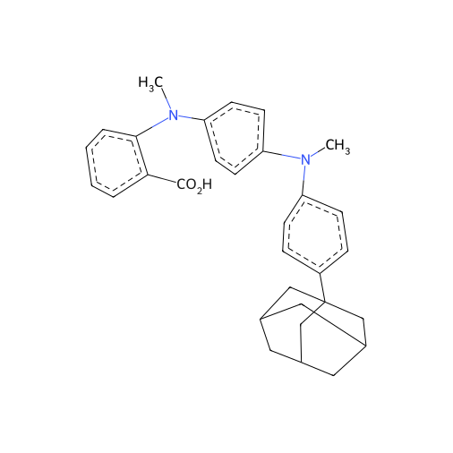 CN(c1ccc(N(C)c2ccccc2C(=O)O)cc1)c1ccc(C23CC4CC(CC(C4)C2)C3)cc1